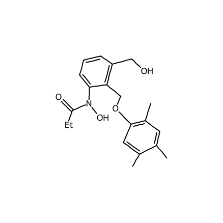 CCC(=O)N(O)c1cccc(CO)c1COc1cc(C)c(C)cc1C